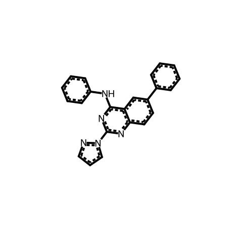 c1ccc(Nc2nc(-n3cccn3)nc3ccc(-c4ccccc4)cc23)cc1